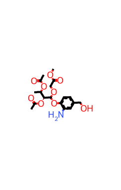 COC(=O)COC(Oc1ccc(CO)cc1N)[C@H](OC(C)=O)C(C)OC(C)=O